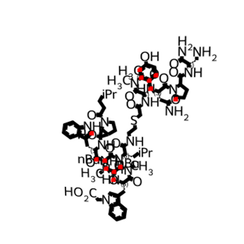 CCCC[C@@H](C(=O)N(C)[C@@H](CCCC)C(=O)N[C@@H](CC(C)C)C(=O)NCCSCC(=O)N[C@@H](Cc1ccc(O)cc1)C(=O)N(C)[C@@H](C)C(=O)N[C@@H](CC(N)=O)C(=O)N1CCCC1C(=O)N[C@@H](CN)C(N)=O)N(C)C(=O)[C@H](Cc1cn(CC(=O)O)c2ccccc12)NC(=O)CNC(=O)[C@H](Cc1c[nH]c2ccccc12)NC1(O)C2CCN(C(=O)CCC(C)C)C21